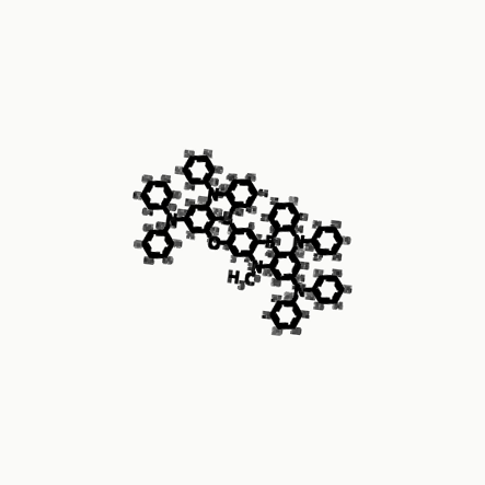 CN1c2cc3c(cc2B2c4ccccc4N(c4ccccc4)c4cc(N(c5ccccc5)c5ccccc5)cc1c42)B1c2ccccc2N(c2ccccc2)c2cc(N(c4ccccc4)c4ccccc4)cc(c21)O3